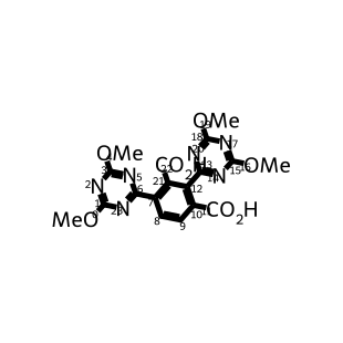 COc1nc(OC)nc(-c2ccc(C(=O)O)c(-c3nc(OC)nc(OC)n3)c2C(=O)O)n1